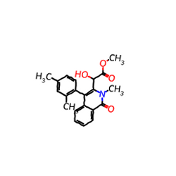 COC(=O)C(O)c1c(-c2ccc(C)cc2C)c2ccccc2c(=O)n1C